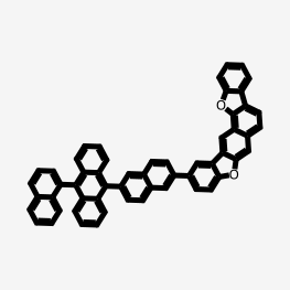 c1ccc2c(-c3c4ccccc4c(-c4ccc5cc(-c6ccc7oc8cc9ccc%10c%11ccccc%11oc%10c9cc8c7c6)ccc5c4)c4ccccc34)cccc2c1